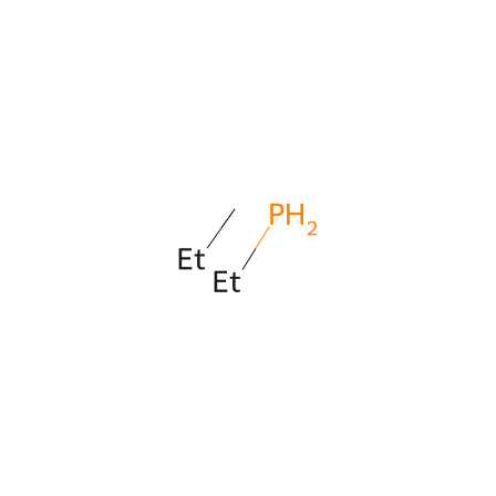 CCC.CCP